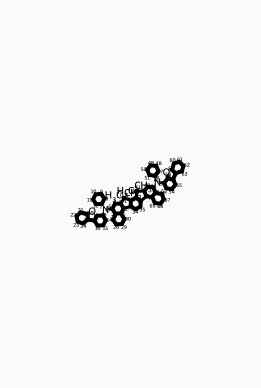 CC1(C)c2cc(N(c3ccccc3)c3cccc4c3oc3ccccc34)c3ccccc3c2-c2ccc3c(c21)C(C)(C)c1cc(N(c2ccccc2)c2cccc4c2oc2ccccc24)c2ccccc2c1-3